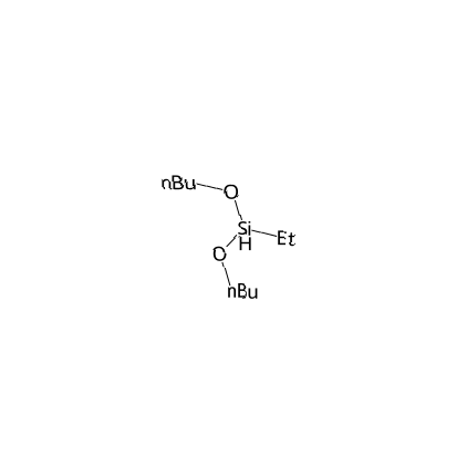 CCCCO[SiH](CC)OCCCC